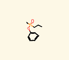 CCCP(C)(=O)Oc1ccccc1